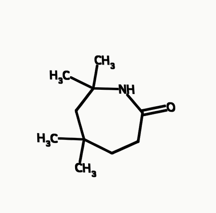 CC1(C)CCC(=O)NC(C)(C)C1